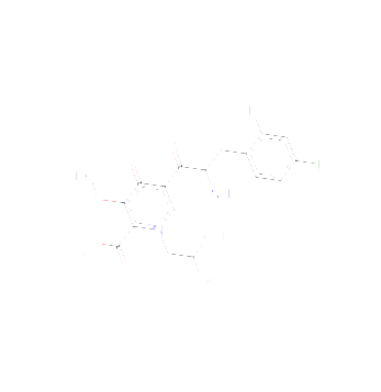 COC(=O)c1c(OC)c(=O)c(C(=O)C(N)Cc2ccc(F)cc2F)cn1CC(O)O